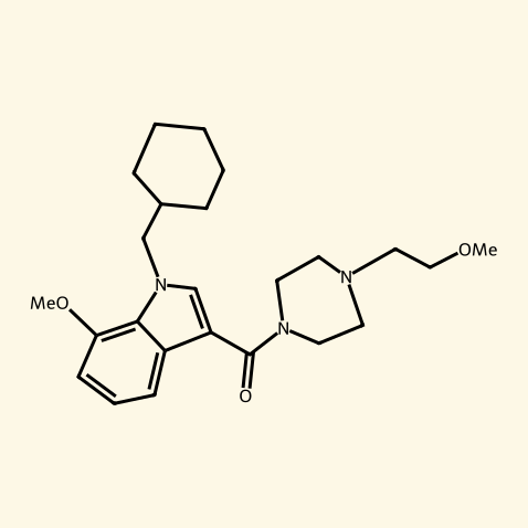 COCCN1CCN(C(=O)c2cn(CC3CCCCC3)c3c(OC)cccc23)CC1